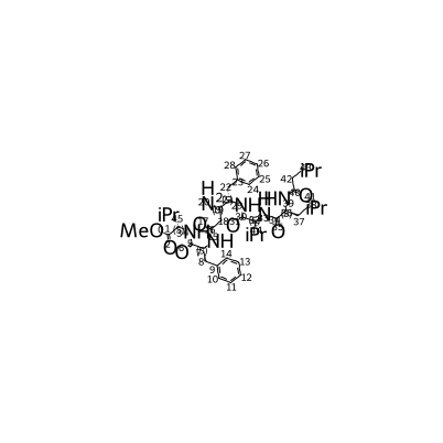 COC(=O)[C@@H](NC(=O)[C@H](Cc1ccccc1)NC(=O)C[C@H](N)[C@H](Cc1ccccc1)NC(=O)[C@@H](NC(=O)[C@H](CC(C)C)NC(=O)CC(C)C)C(C)C)C(C)C